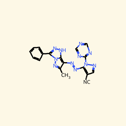 [C-]#[N+]c1cnn(-c2ncncn2)c1/N=N/c1c(C)nn2c(-c3ccccc3)n[nH]c12